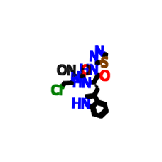 O=NN(CCCl)C(=O)N[C@@H](Cc1c[nH]c2ccccc12)C(=O)Nc1nncs1